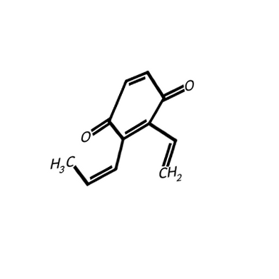 C=CC1=C(/C=C\C)C(=O)C=CC1=O